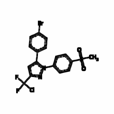 CS(=O)(=O)c1ccc(-n2nc(C(F)(F)Cl)cc2-c2ccc(Br)cc2)cc1